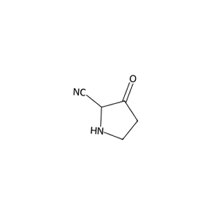 N#CC1NCCC1=O